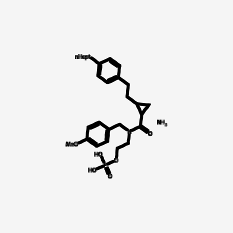 CCCCCCCc1ccc(CCC2CC2C(=O)N(CCOP(=O)(O)O)Cc2ccc(OC)cc2)cc1.N